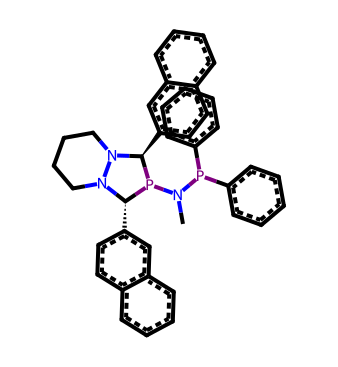 CN(P(c1ccccc1)c1ccccc1)P1[C@H](c2ccc3ccccc3c2)N2CCCCN2[C@H]1c1ccc2ccccc2c1